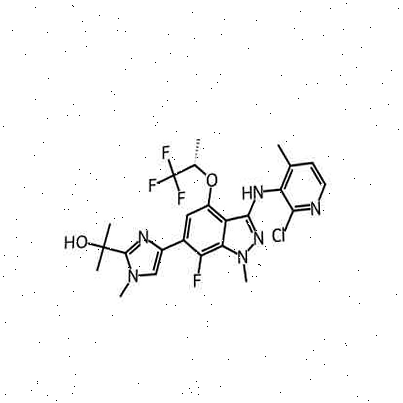 Cc1ccnc(Cl)c1Nc1nn(C)c2c(F)c(-c3cn(C)c(C(C)(C)O)n3)cc(O[C@@H](C)C(F)(F)F)c12